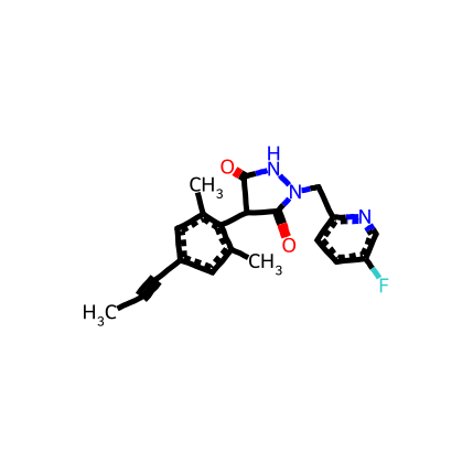 CC#Cc1cc(C)c(C2C(=O)NN(Cc3ccc(F)cn3)C2=O)c(C)c1